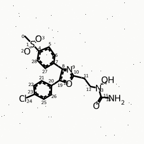 CS(=O)(=O)c1ccc(-c2nc(CCN(O)C(N)=O)oc2-c2ccc(Cl)cc2)cc1